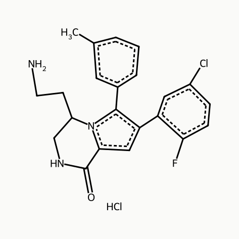 Cc1cccc(-c2c(-c3cc(Cl)ccc3F)cc3n2C(CCN)CNC3=O)c1.Cl